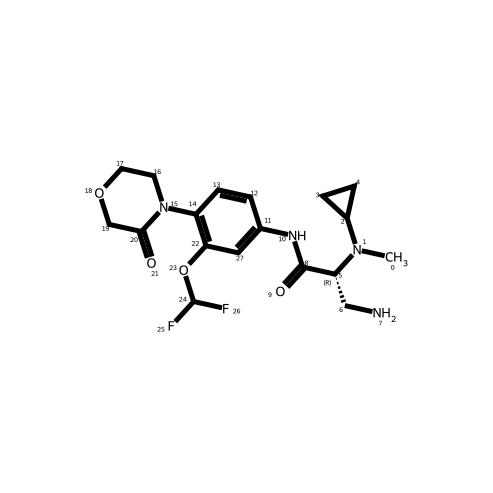 CN(C1CC1)[C@H](CN)C(=O)Nc1ccc(N2CCOCC2=O)c(OC(F)F)c1